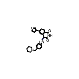 O=C1NC(=O)c2ccc(-c3ccoc3)cc2/C1=C/Nc1ccc(CN2CCCCC2)cc1